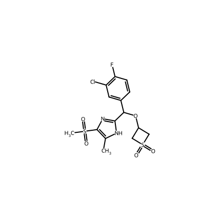 Cc1[nH]c(C(OC2CS(=O)(=O)C2)c2ccc(F)c(Cl)c2)nc1S(C)(=O)=O